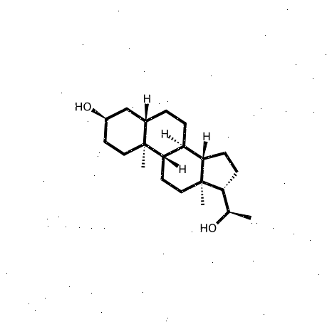 C[C@@H](O)[C@H]1CC[C@H]2[C@@H]3CC[C@H]4C[C@H](O)CC[C@]4(C)[C@H]3CC[C@]12C